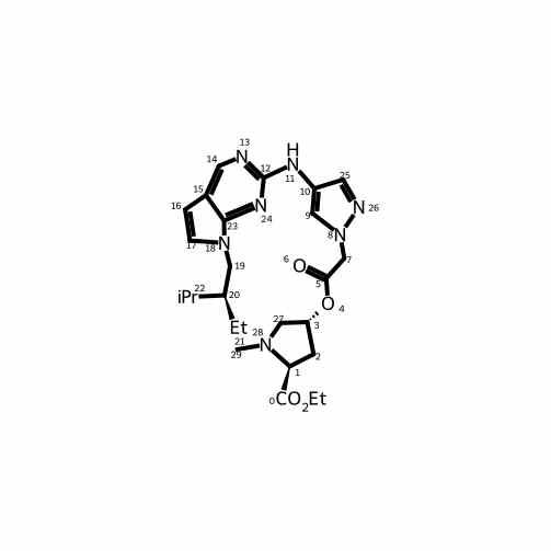 CCOC(=O)[C@@H]1C[C@@H](OC(=O)Cn2cc(Nc3ncc4ccn(C[C@@H](CC)C(C)C)c4n3)cn2)CN1C